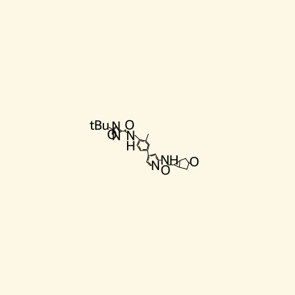 Cc1cc(-c2ccnc(NC(=O)C3C4CC(=O)CC43)c2)ccc1CNC(=O)c1noc(C(C)(C)C)n1